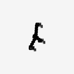 CCCCCCCCCn1cc[n+](CCCCCCCCC)c1CCCC